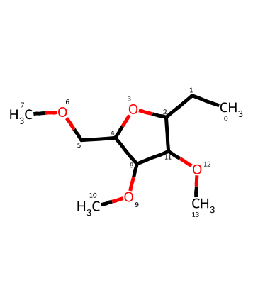 CCC1OC(COC)C(OC)C1OC